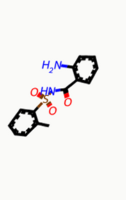 Cc1ccccc1S(=O)(=O)NC(=O)c1ccccc1N